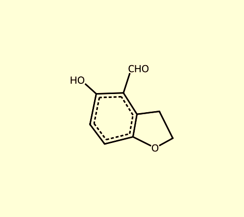 O=Cc1c(O)ccc2c1CCO2